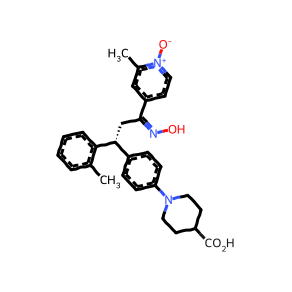 Cc1ccccc1[C@H](CC(=NO)c1cc[n+]([O-])c(C)c1)c1ccc(N2CCC(C(=O)O)CC2)cc1